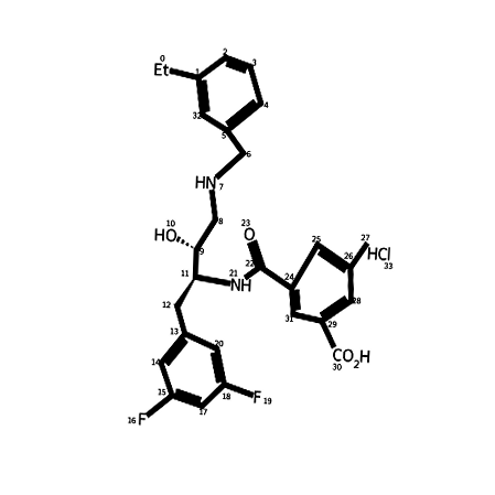 CCc1cccc(CNC[C@@H](O)[C@H](Cc2cc(F)cc(F)c2)NC(=O)c2cc(C)cc(C(=O)O)c2)c1.Cl